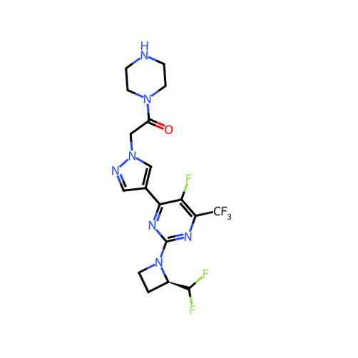 O=C(Cn1cc(-c2nc(N3CC[C@@H]3C(F)F)nc(C(F)(F)F)c2F)cn1)N1CCNCC1